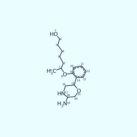 CC(CCCCCO)Oc1ccccc1C1CNC(N)CO1